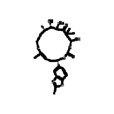 CCCC[C@H]1C(=O)C(C)(C)[C@@H](O)CC(=O)O[C@H](c2ccc3oc(C)nc3c2)CC=C(C)CCC[C@H](C)[C@@H]1O